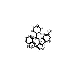 Cc1csc2c3ncc(Br)cc3n(C(c3ncccc3F)C3CCOCC3)c12